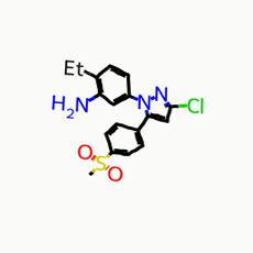 CCc1ccc(-n2nc(Cl)cc2-c2ccc(S(C)(=O)=O)cc2)cc1N